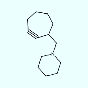 C1#CC(CN2CCCCC2)CCCC1